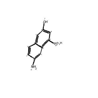 Nc1ccc2cc(O)cc(S(=O)(=O)O)c2c1